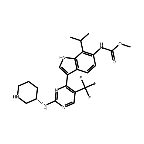 COC(=O)Nc1ccc2c(-c3nc(N[C@H]4CCCNC4)ncc3C(F)(F)F)c[nH]c2c1C(C)C